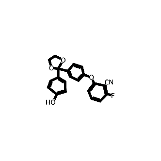 N#Cc1c(F)cccc1Oc1ccc(C2(c3ccc(O)cc3)OCCO2)cc1